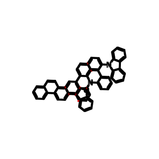 c1cc(-c2ccc3c(ccc4ccccc43)c2)cc(N(c2ccccc2-c2ccccc2-n2c3ccccc3c3ccccc32)c2ccccc2-c2cccc3c2oc2ccccc23)c1